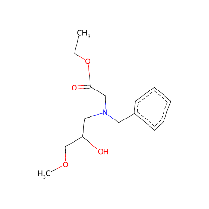 CCOC(=O)CN(Cc1ccccc1)CC(O)COC